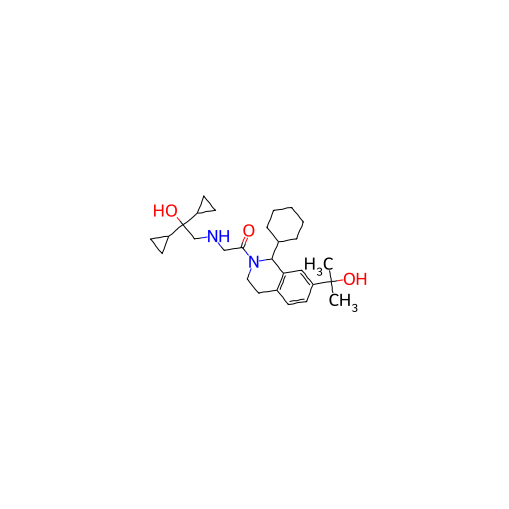 CC(C)(O)c1ccc2c(c1)C(C1CCCCC1)N(C(=O)CNCC(O)(C1CC1)C1CC1)CC2